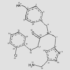 N#Cc1ccc(CN(Cc2nnc(CN)o2)C(=O)CSc2ccccc2Cl)cc1